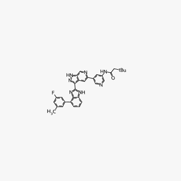 Cc1cc(F)cc(-c2cccc3[nH]c(-c4n[nH]c5cnc(-c6cncc(NC(=O)CC(C)(C)C)c6)cc45)nc23)c1